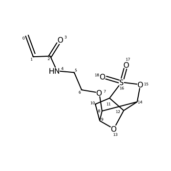 C=CC(=O)NCCOC1C2CC3C(O2)C1OS3(=O)=O